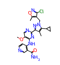 COc1cnc(-c2nn(Cc3c(Cl)noc3C)c(C3CC3)c2C)nc1Nc1ccncc1C(N)=O